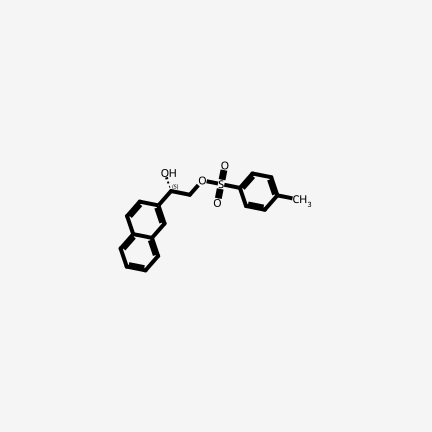 Cc1ccc(S(=O)(=O)OC[C@@H](O)c2ccc3ccccc3c2)cc1